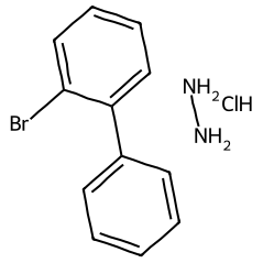 Brc1ccccc1-c1ccccc1.Cl.NN